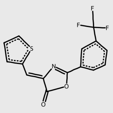 O=C1OC(c2cccc(C(F)(F)F)c2)=NC1=Cc1cccs1